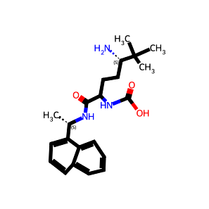 C[C@H](NC(=O)C(CC[C@H](N)C(C)(C)C)NC(=O)O)c1cccc2ccccc12